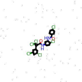 O=C(Nc1cc(NC(=O)C2C(c3cc(Cl)cc(Cl)c3)C2(Cl)Cl)ccc1Cl)c1ccc(Cl)cc1